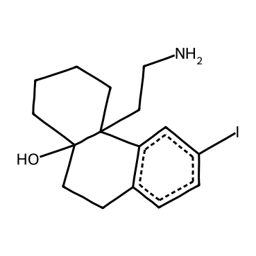 NCCC12CCCCC1(O)CCc1ccc(I)cc12